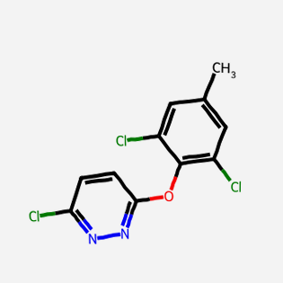 Cc1cc(Cl)c(Oc2ccc(Cl)nn2)c(Cl)c1